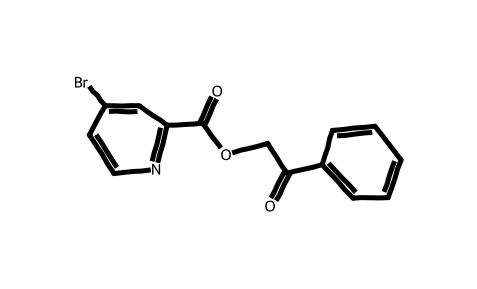 O=C(COC(=O)c1cc(Br)ccn1)c1ccccc1